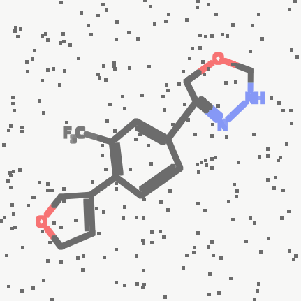 FC(F)(F)c1cc(C2=NNCOC2)ccc1C1=CCOC1